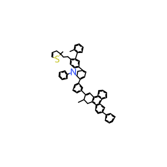 Cc1ccccc1-c1cc2c(cc1CCC1(C)CC=CS1)N(c1ccccc1)C1CC2=CC=C1c1cccc(C2=Cc3c(c4ccc(-c5ccccc5)cc4c4ccccc34)CC2C)c1